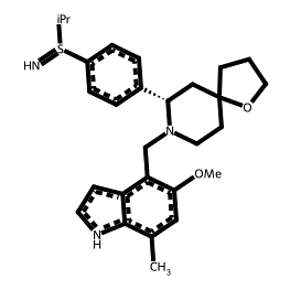 COc1cc(C)c2[nH]ccc2c1CN1CCC2(CCCO2)C[C@H]1c1ccc(S(=N)C(C)C)cc1